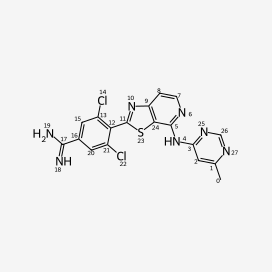 Cc1cc(Nc2nccc3nc(-c4c(Cl)cc(C(=N)N)cc4Cl)sc23)ncn1